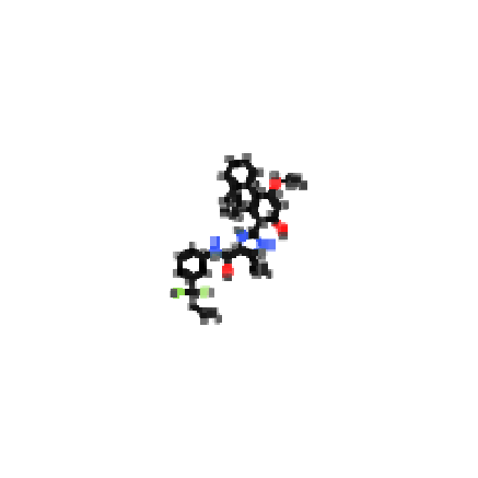 CCC(F)(F)c1cccc(NC(=O)c2nc(C3C(=O)C=C(OC)C(c4ccccc4C)=C3C)[nH]c2C)c1